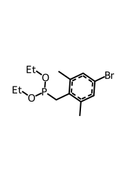 CCOP(Cc1c(C)cc(Br)cc1C)OCC